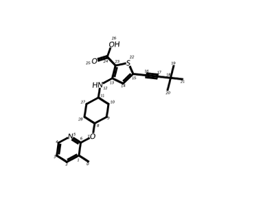 Cc1cccnc1OC1CCC(Nc2cc(C#CC(C)(C)C)sc2C(=O)O)CC1